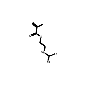 C=C(C)C(=O)OCCNC(CC)CC